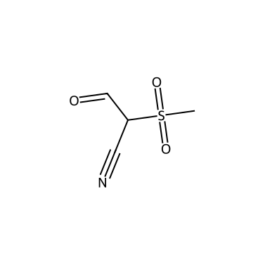 CS(=O)(=O)C(C#N)C=O